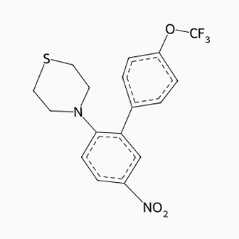 O=[N+]([O-])c1ccc(N2CCSCC2)c(-c2ccc(OC(F)(F)F)cc2)c1